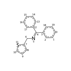 c1ccc(C(=NCc2cccs2)c2ccccc2)cc1